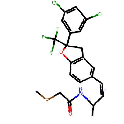 CSCC(=O)NC(C)/C=C\c1ccc2c(c1)CC(c1cc(Cl)cc(Cl)c1)(C(F)(F)F)O2